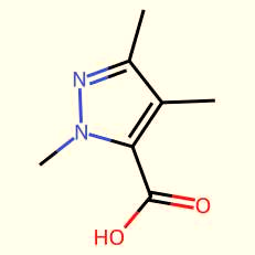 Cc1nn(C)c(C(=O)O)c1C